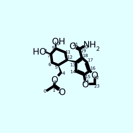 CC(=O)OC[C@H]1C[C@@H](O)[C@@H](O)C[C@H]1c1cc2c(cc1C(N)=O)OCO2